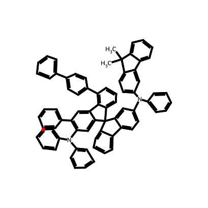 CC1(C)c2ccccc2-c2cc(N(c3ccccc3)c3ccc4c(c3)C3(c5ccccc5-4)c4cc(N(c5ccccc5)c5ccccc5)c(-c5ccccc5)cc4-c4c(-c5ccc(-c6ccccc6)cc5)cccc43)ccc21